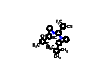 Cc1cc(C)c(-c2ccc3c(c2)c2ccccc2n3-c2cc(-c3cc(C#N)cc(C(F)(F)F)c3)cc(-n3c4ccccc4c4cc(-c5c(C)cc(C)cc5C)ccc43)c2C#N)c(C)c1